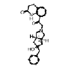 O=C1CCc2cccc(C(=O)CN3C[C@@H]4C[C@@](O)(Cc5ccccc5)C[C@@H]4C3)c2N1